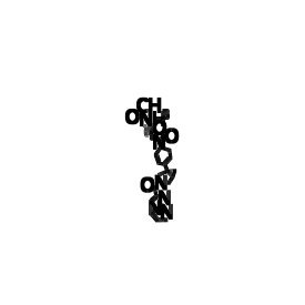 CC(=O)NC[C@H]1CN(C2C=CC(C34CC3CN(C(=O)c3cn5cccnc5n3)C4)=CC2)C(=O)O1